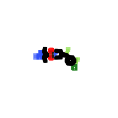 Cc1n[nH]c(C)c1S(=O)(=O)N1CCC(=C(F)c2ccc(Cl)c(F)c2)CC1